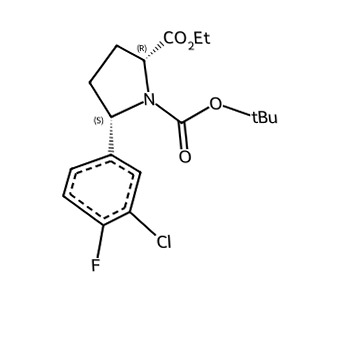 CCOC(=O)[C@H]1CC[C@@H](c2ccc(F)c(Cl)c2)N1C(=O)OC(C)(C)C